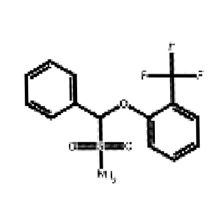 NS(=O)(=O)C(Oc1ccccc1C(F)(F)F)c1ccccc1